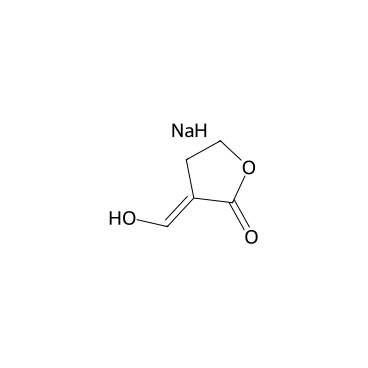 O=C1OCCC1=CO.[NaH]